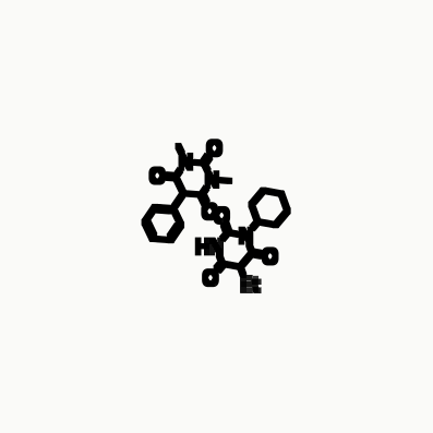 CCC1C(=O)NC(=O)N(C2CCCCC2)C1=O.CN1C(=O)C(c2ccccc2)C(=O)N(C)C1=O